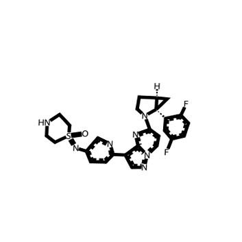 O=S1(=Nc2ccc(-c3cnn4ccc(N5CC[C@H]6C[C@]65c5cc(F)ccc5F)nc34)nc2)CCNCC1